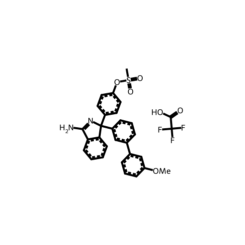 COc1cccc(-c2cccc(C3(c4ccc(OS(C)(=O)=O)cc4)N=C(N)c4ccccc43)c2)c1.O=C(O)C(F)(F)F